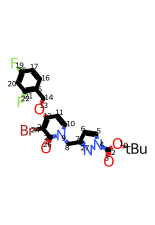 CC(C)(C)OC(=O)n1ccc(Cn2ccc(OCc3ccc(F)cc3F)c(Br)c2=O)n1